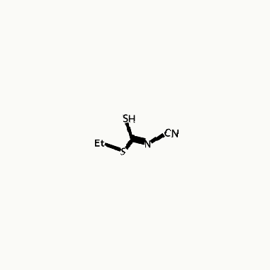 CCS/C(S)=N/C#N